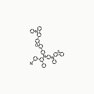 N#Cc1cccc(-c2cc(-c3ccccc3)cc(N(c3ccc(-c4ccc5c(c4)oc4ccc(-c6ccc7c8ccccc8n(-c8ccccc8)c7c6)cc45)cc3)c3ccc(N(c4ccccc4)c4ccc5sc6ccccc6c5c4)cc3)c2)c1